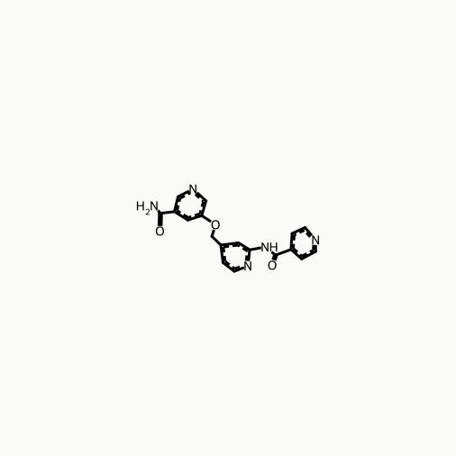 NC(=O)c1cncc(OCc2ccnc(NC(=O)c3ccncc3)c2)c1